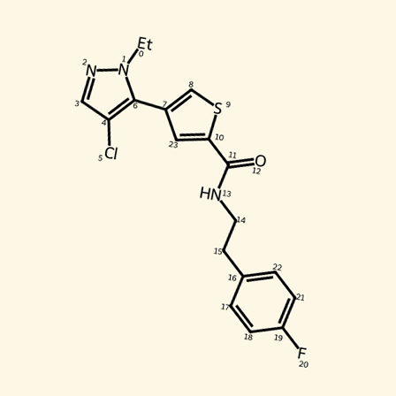 CCn1ncc(Cl)c1-c1csc(C(=O)NCCc2ccc(F)cc2)c1